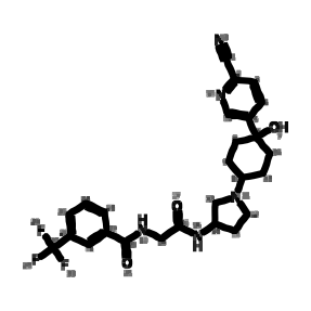 N#Cc1ccc(C2(O)CCC(N3CCC(NC(=O)CNC(=O)c4cccc(C(F)(F)F)c4)C3)CC2)cn1